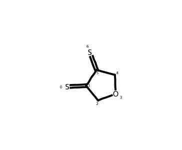 S=C1COCC1=S